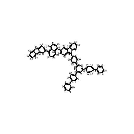 c1ccc(-c2ccc(-c3cc(-c4ccc(-c5ccccc5)cc4)nc(-c4ccc(-n5c6ccccc6c6cc(-c7cccc8c(-c9ccc%10sc%11ccccc%11c%10c9)cccc78)ccc65)cc4)n3)cc2)cc1